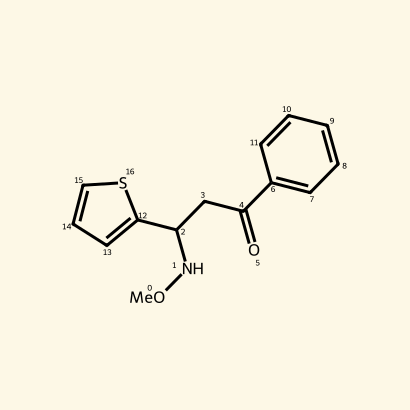 CONC(CC(=O)c1ccccc1)c1cccs1